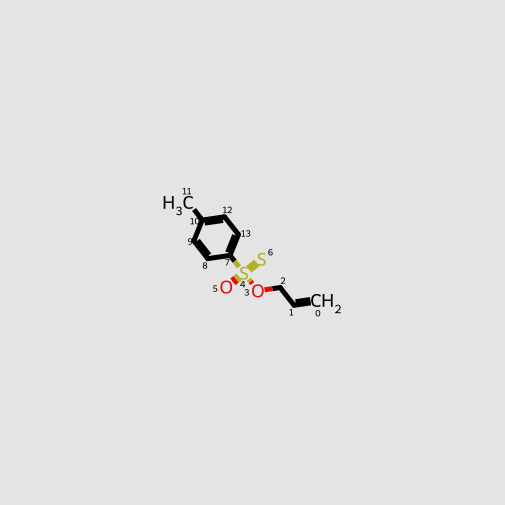 C=CCOS(=O)(=S)c1ccc(C)cc1